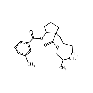 CCCCC1(C(=O)OCC(C)C)CCCC1OC(=O)c1cccc(C)c1